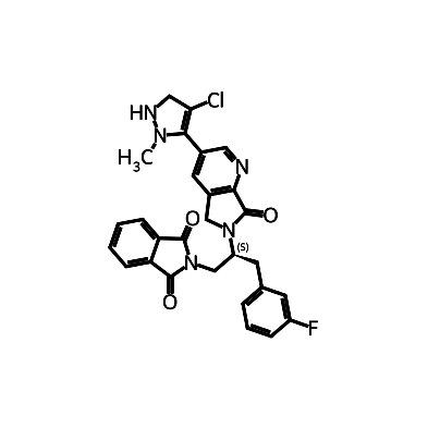 CN1NCC(Cl)=C1c1cnc2c(c1)CN([C@@H](Cc1cccc(F)c1)CN1C(=O)c3ccccc3C1=O)C2=O